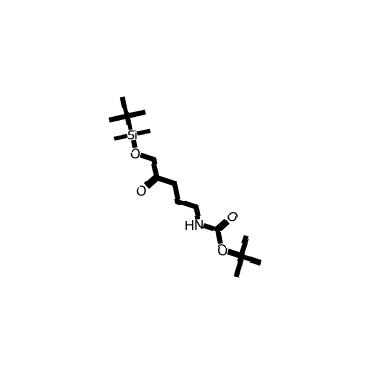 CC(C)(C)OC(=O)NCCCC(=O)CO[Si](C)(C)C(C)(C)C